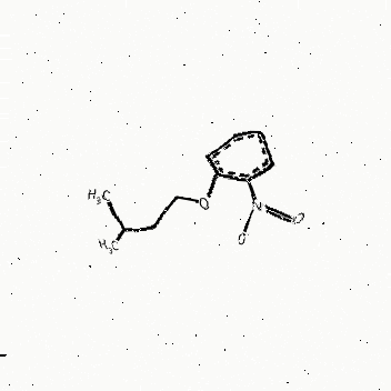 CC(C)CCOc1ccccc1[N+](=O)[O-]